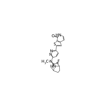 CN(c1ccc(-c2cc3cc[nH]c(=O)c3s2)nn1)[C@@H]1CC2CCC(N2)[C@@H]1F